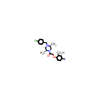 C[C@@H]1CN(C(=O)COc2ccc(I)cc2C(=O)O)[C@@H](C)CN1Cc1ccc(F)cc1